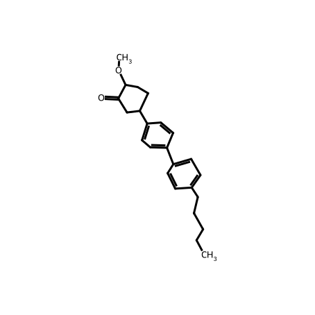 CCCCCc1ccc(-c2ccc(C3CCC(OC)C(=O)C3)cc2)cc1